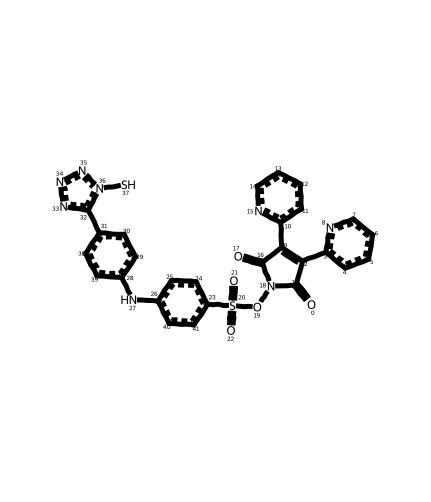 O=C1C(c2ccccn2)=C(c2ccccn2)C(=O)N1OS(=O)(=O)c1ccc(Nc2ccc(-c3nnnn3S)cc2)cc1